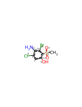 CS(=O)(=O)c1c(O)cc(Cl)c(N)c1Br